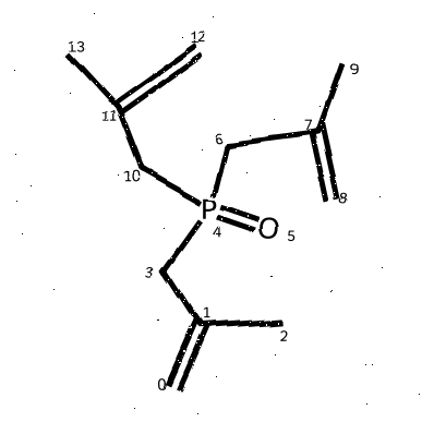 C=C(C)CP(=O)(CC(=C)C)CC(=C)C